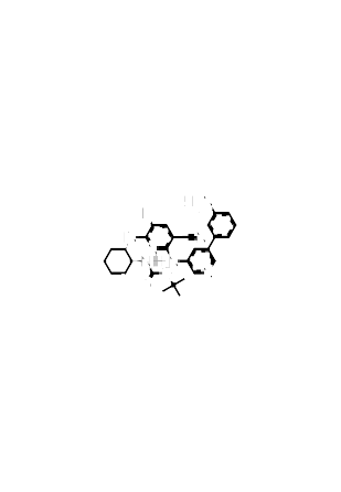 CC(C)(C)OC(=O)N[C@H]1CCCC[C@H]1Nc1nc(Nc2cncc(-c3cccc(N)c3)c2)c(C#N)cc1F